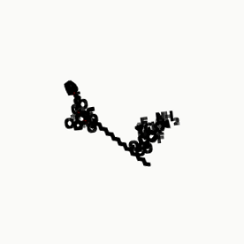 C=C[C@@]1(C)C[C@H](OC(=O)CSC2CC3CCC(C2)N3C)[C@@]2(C)C(C)CCC3(CCC(=O)C32)[C@H](C)[C@@H]1OC(=O)CCCCCCCCCCC(CCCCCC)OC(=O)c1cn(C2C[C@@H]2F)c2c(Cl)c(N3C[C@@H](N)C4(CC4)C3)c(F)cc2c1=O